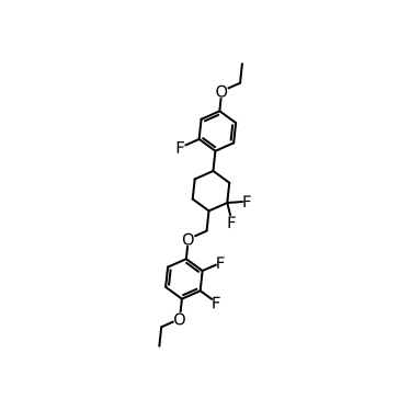 CCOc1ccc(C2CCC(COc3ccc(OCC)c(F)c3F)C(F)(F)C2)c(F)c1